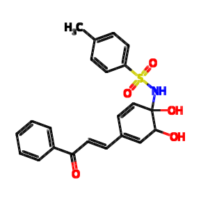 Cc1ccc(S(=O)(=O)NC2(O)C=CC(C=CC(=O)c3ccccc3)=CC2O)cc1